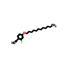 C#Cc1ccc(OCCCCCCCCCCCC)cc1F